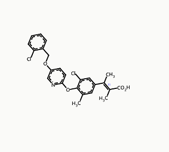 C/C(C(=O)O)=C(/C)c1cc(C)c(Oc2ccc(OCc3ccccc3Cl)cn2)c(Cl)c1